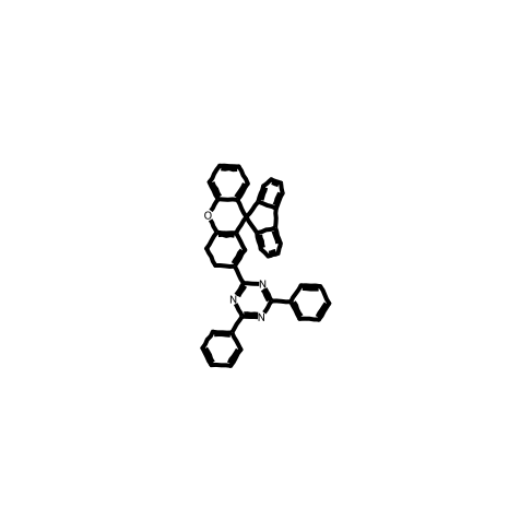 C1=C(c2nc(-c3ccccc3)nc(-c3ccccc3)n2)CCC2=C1C1(c3ccccc3O2)c2ccccc2-c2ccccc21